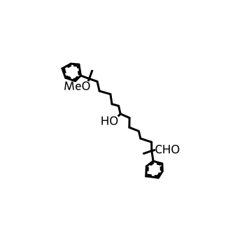 COC(C)(CCCCCC(O)CCCCCC(C)(C=O)c1ccccc1)c1ccccc1